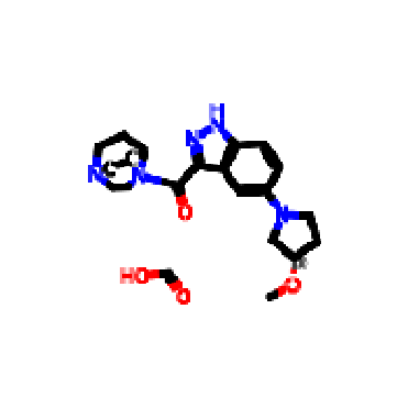 CO[C@H]1CCN(c2ccc3[nH]nc(C(=O)N4CCN5CCC4CC5)c3c2)C1.O=CO